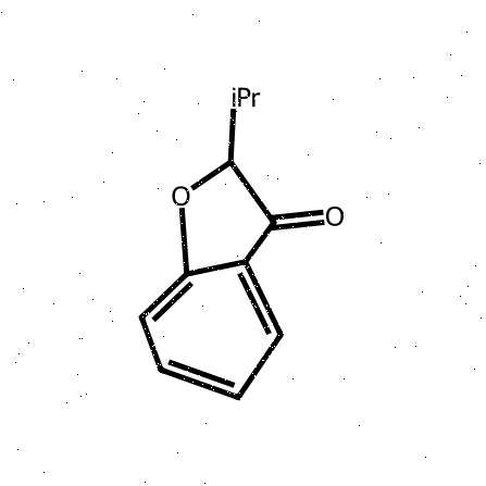 CC(C)C1Oc2ccccc2C1=O